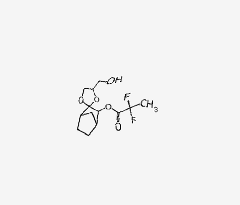 CC(F)(F)C(=O)OC1C2CCC(C2)C12OCC(CO)O2